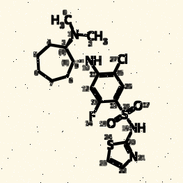 CN(C)[C@@H]1CCCCC[C@H]1Nc1cc(F)c(S(=O)(=O)Nc2nccs2)cc1Cl